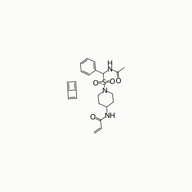 C=CC(=O)NC1CCN(S(=O)(=O)C(NC(C)=O)c2ccccc2)CC1.c1cc2ccc1-2